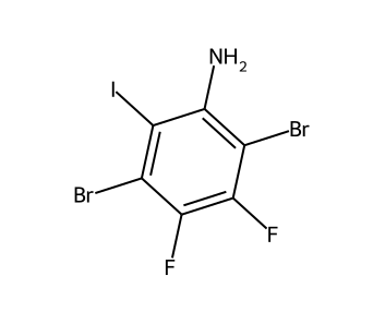 Nc1c(Br)c(F)c(F)c(Br)c1I